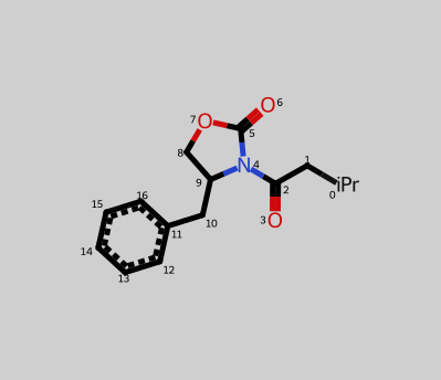 CC(C)CC(=O)N1C(=O)OCC1Cc1ccccc1